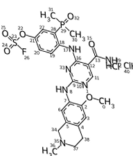 COc1cc2c(cc1Nc1ncc(C(N)=O)c(Nc3ccc(OS(=O)(=O)F)cc3P(C)(C)=O)n1)CN(C)CC2.Cl.Cl